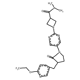 CN(C)C(=O)C1CN(c2ncc(N3CCC(Cc4ccc(OCC(F)(F)F)nc4)C3=O)cn2)C1